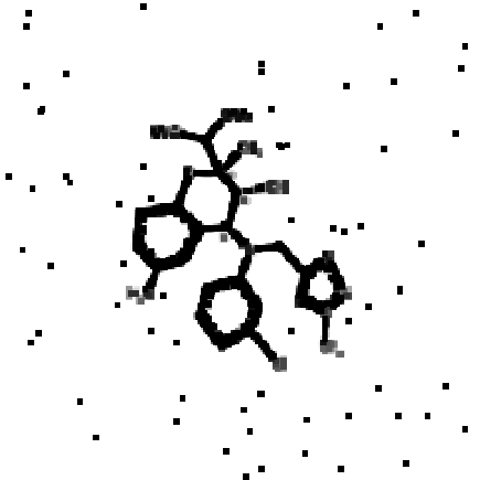 COC(OC)[C@@]1(C)Oc2ccc(N)cc2[C@H](N(Cc2nnn(C)n2)c2cccc(Cl)c2)[C@H]1O